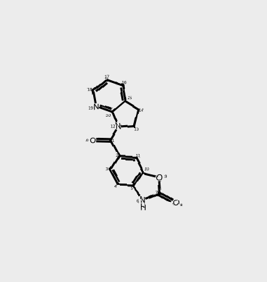 O=C(c1ccc2[nH]c(=O)oc2c1)N1CCc2cccnc21